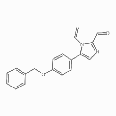 C=Cn1c(-c2ccc(OCc3ccccc3)cc2)cnc1C=O